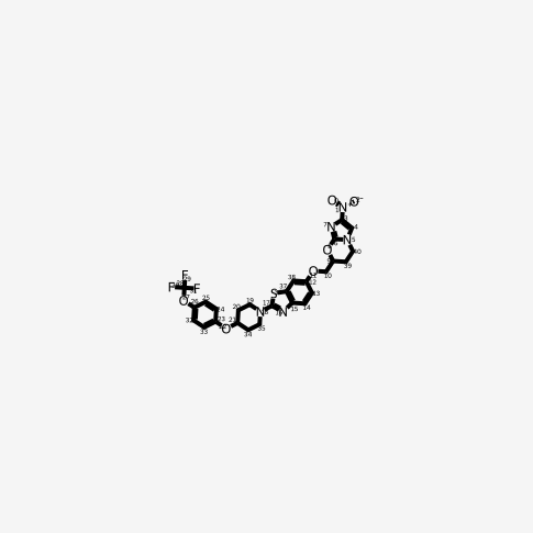 O=[N+]([O-])c1cn2c(n1)OC(COc1ccc3nc(N4CCC(Oc5ccc(OC(F)(F)F)cc5)CC4)sc3c1)CC2